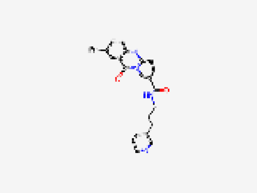 CC(C)c1ccc2nc3ccc(C(=O)NCCCc4cccnc4)cn3c(=O)c2c1